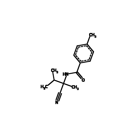 Cc1ccc(C(=O)NC(C)(C#N)C(C)C)cc1